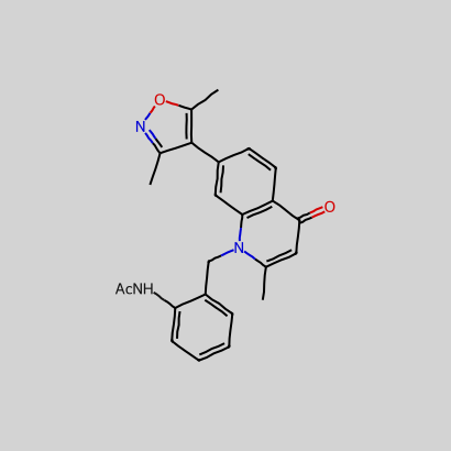 CC(=O)Nc1ccccc1Cn1c(C)cc(=O)c2ccc(-c3c(C)noc3C)cc21